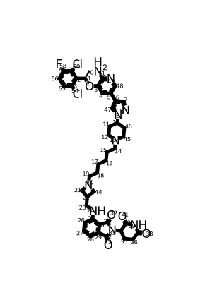 C[C@@H](Oc1cc(-c2cnn(C3CCN(CCCCCCN4CC(CNc5cccc6c5C(=O)N(C5CCC(=O)NC5=O)C6=O)C4)CC3)c2)cnc1N)c1c(Cl)ccc(F)c1Cl